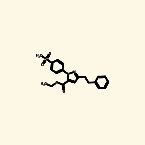 CCOC(=O)c1cc(CCc2ccccc2)nn1-c1ccc(S(C)(=O)=O)cc1